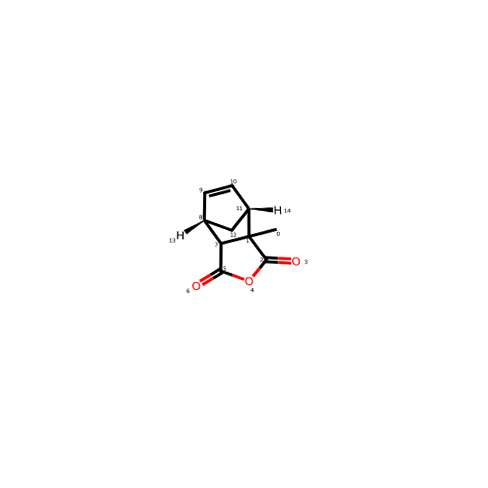 CC12C(=O)OC(=O)C1[C@@H]1C=C[C@H]2C1